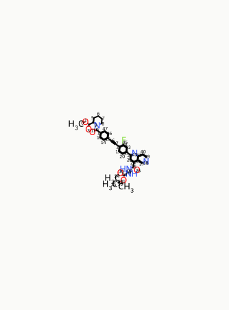 COC(=O)C1CCCCN1C(=O)c1ccc(C#Cc2ccc(-c3cc(C(=O)NNC(=O)OC(C)(C)C)c4cnccc4n3)cc2F)cc1